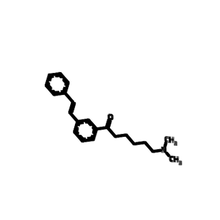 CN(C)CCCCCC(=O)c1cccc(/C=C/c2ccccc2)c1